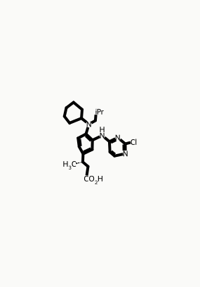 CC(C)CN(c1ccc([C@@H](C)CC(=O)O)cc1Nc1ccnc(Cl)n1)C1CCCCC1